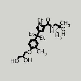 CCn1cc(C(CC)(CC)c2ccc(OCC(O)CO)c(C)c2)cc1C(=O)NCC(C)(C)O